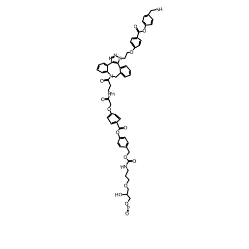 O=POCC(O)COCCCNC(=O)OCc1ccc(OC(=O)c2ccc(OCC(=O)NCCC(=O)N3Cc4ccccc4-c4c(nnn4CCOc4ccc(C(=O)Oc5ccc(CS)cc5)cc4)-c4ccccc43)cc2)cc1